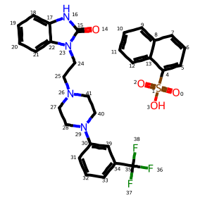 O=S(=O)(O)c1cccc2ccccc12.O=c1[nH]c2ccccc2n1CCN1CCN(c2cccc(C(F)(F)F)c2)CC1